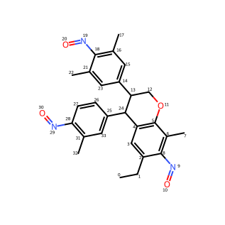 CCc1cc2c(c(C)c1N=O)OCC(c1cc(C)c(N=O)c(C)c1)C2c1ccc(N=O)c(C)c1